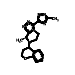 Cc1nsc(-c2nnc3n2CCN(C2CCOc4ccccc42)[C@@H]3C)n1